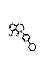 Nc1ncnc2c1C(=O)N(c1ccc(C3CC[CH]CC3)cc1)CCO2